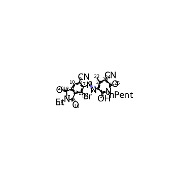 CCCCCn1c(O)c(/N=N/c2c(C#N)cc3c(c2Br)C(=O)N(CC)C3=O)c(C)c(C#N)c1=O